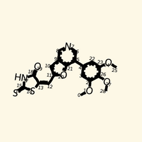 COc1cc(-c2cncc3cc(/C=C4/SC(=S)NC4=O)oc23)cc(OC)c1OC